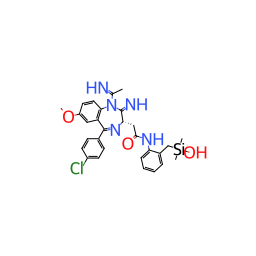 COc1ccc2c(c1)C(c1ccc(Cl)cc1)=N[C@@H](CC(=O)Nc1ccccc1C[Si](C)(C)O)C(=N)N2C(C)=N